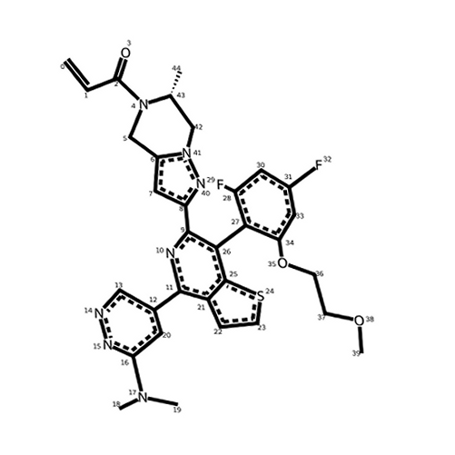 C=CC(=O)N1Cc2cc(-c3nc(-c4cnnc(N(C)C)c4)c4ccsc4c3-c3c(F)cc(F)cc3OCCOC)nn2C[C@H]1C